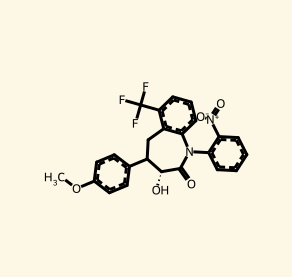 COc1ccc(C2Cc3c(cccc3C(F)(F)F)N(c3ccccc3[N+](=O)[O-])C(=O)[C@@H]2O)cc1